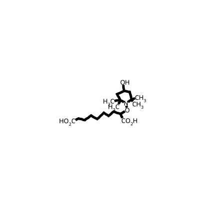 CC1(C)CC(O)CC(C)(C)N1OC(CCCCCCCC(=O)O)C(=O)O